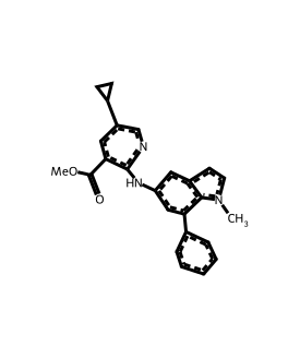 COC(=O)c1cc(C2CC2)cnc1Nc1cc(-c2ccccc2)c2c(ccn2C)c1